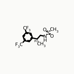 C[C@@H](CNS(C)(=O)=O)c1cc(C(F)(F)F)cc(C(F)(F)F)c1